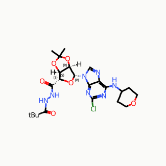 CC1(C)O[C@@H]2[C@H](O1)[C@@H](C(=O)NNC(=O)C(C)(C)C)O[C@H]2n1cnc2c(NC3CCOCC3)nc(Cl)nc21